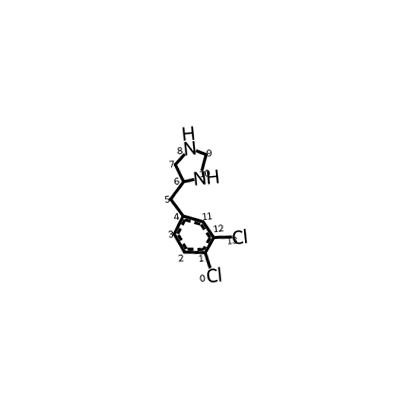 Clc1ccc(CC2CNCN2)cc1Cl